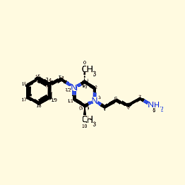 C[C@@H]1CN(CCCCN)[C@@H](C)CN1Cc1ccccc1